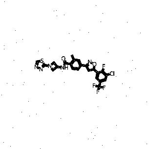 Cc1cc(C2=NOC(c3cc(C(F)(F)F)cc(Cl)c3F)C2)ccc1C(=O)NC1CN(c2nncs2)C1